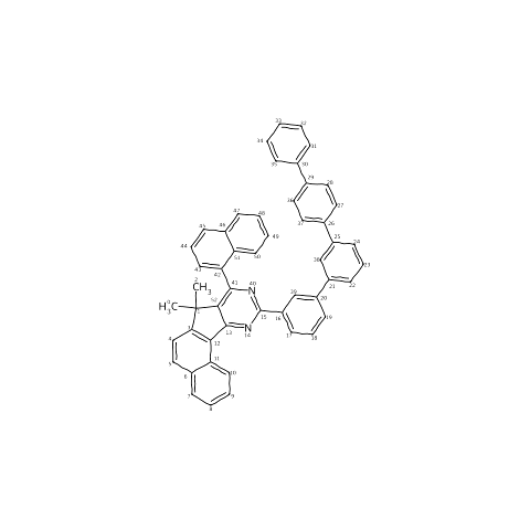 CC1(C)c2ccc3ccccc3c2-c2nc(-c3cccc(-c4cccc(-c5ccc(-c6ccccc6)cc5)c4)c3)nc(-c3cccc4ccccc34)c21